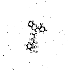 CCc1cc(F)ccc1[C@@H](Sc1ccccc1)[C@H](C)OC(=O)CNC(=O)c1nccc(OC)c1O